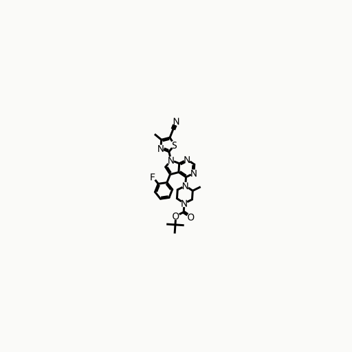 Cc1nc(-n2cc(-c3ccccc3F)c3c(N4CCN(C(=O)OC(C)(C)C)CC4C)ncnc32)sc1C#N